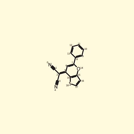 N#CC(C#N)=C1C=C(c2ccccc2)Oc2ccsc21